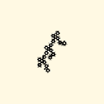 c1ccc(-c2c3ccccc3c(-c3ccc(-c4ccc(-c5c6ccccc6c(-c6ccc(-c7ccc(-c8c9ccccc9c(-c9ccccc9)c9cc(-c%10ccc%11c(c%10)oc%10ccccc%10%11)ccc89)cc7)cc6)c6cc(-c7cccc8c7sc7ccccc78)ccc56)cc4)cc3)c3cc(-c4ccc5sc6ccccc6c5c4)ccc23)cc1